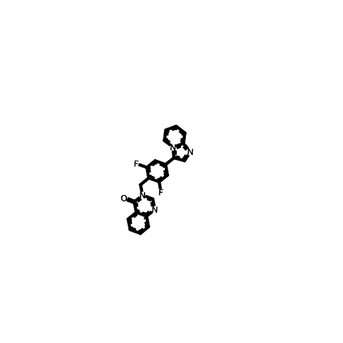 O=c1c2ccccc2ncn1Cc1c(F)cc(-c2cnc3ccccn23)cc1F